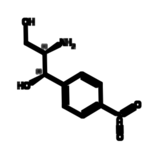 N[C@H](CO)[C@H](O)c1ccc([SH](=O)=O)cc1